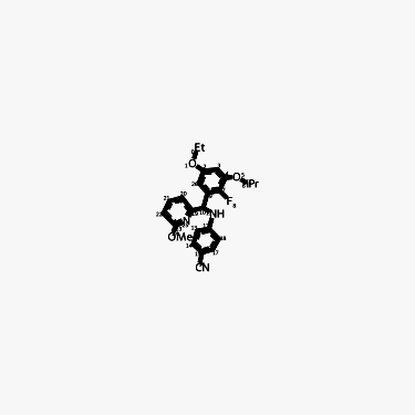 CCOc1cc(OC(C)C)c(F)c(C(Nc2ccc(C#N)cc2)c2cccc(OC)n2)c1